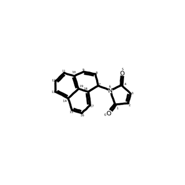 O=C1C=CC(=O)N1C1C=Cc2cccc3cccc1c23